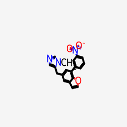 Cn1cncc1Cc1cc(-c2cccc([N+](=O)[O-])c2)c2occc2c1